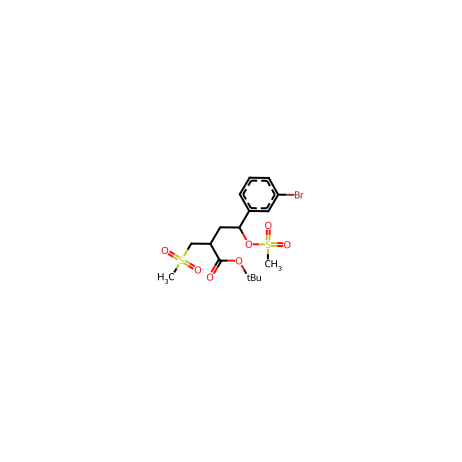 CC(C)(C)OC(=O)C(CC(OS(C)(=O)=O)c1cccc(Br)c1)CS(C)(=O)=O